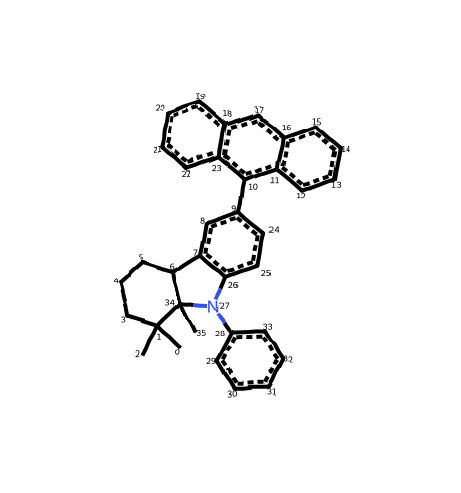 CC1(C)CCCC2c3cc(-c4c5ccccc5cc5ccccc45)ccc3N(c3ccccc3)C21C